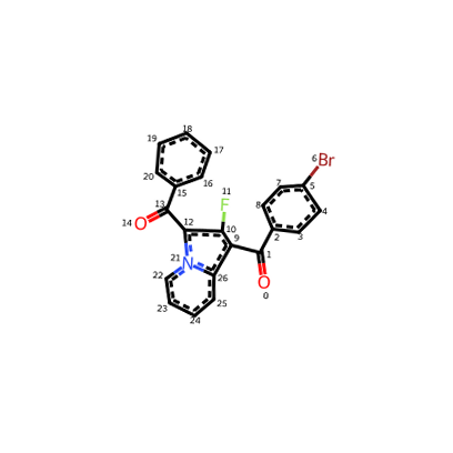 O=C(c1ccc(Br)cc1)c1c(F)c(C(=O)c2ccccc2)n2ccccc12